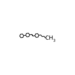 CCCCCC1CCC(C=CC2CCC(C3CCCCC3)CC2)CC1